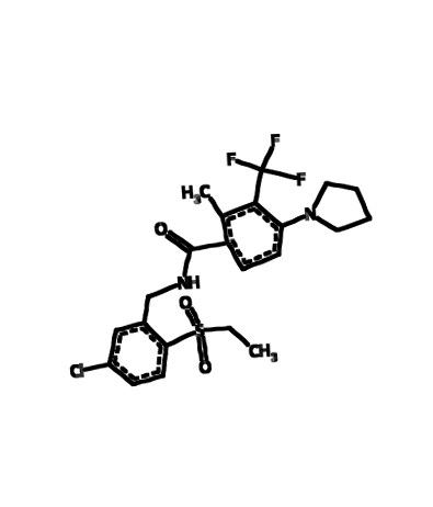 CCS(=O)(=O)c1ccc(Cl)cc1CNC(=O)c1ccc(N2CCCC2)c(C(F)(F)F)c1C